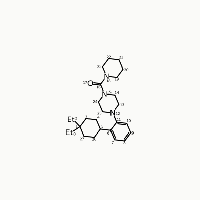 CCC1(CC)CCC(c2ccccc2N2CCN(C(=O)N3CCCCC3)CC2)CC1